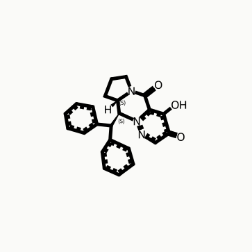 O=C1c2c(O)c(=O)cnn2[C@@H](C(c2ccccc2)c2ccccc2)[C@@H]2CCCN12